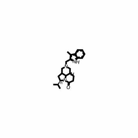 Cc1c(CN2CC3C[C@H](C(C)C)N4C(=O)CC[C@H](C2)C34)[nH]c2ccccc12